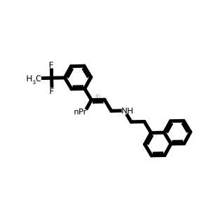 CCC/C(=C\CNCCc1cccc2ccccc12)c1cccc(C(C)(F)F)c1